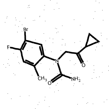 Cc1cc(F)c(Br)cc1N(CC(=O)C1CC1)C(N)=O